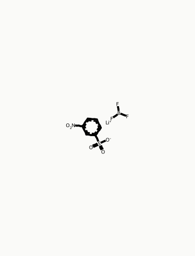 FB(F)F.O=[N+]([O-])c1cccc(S(=O)(=O)[O-])c1.[Li+]